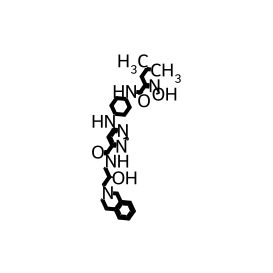 CC(C)C/C(=N/O)C(=O)NC1CCC(Nc2cc(C(=O)NC[C@H](O)CN3CCc4ccccc4C3)ncn2)CC1